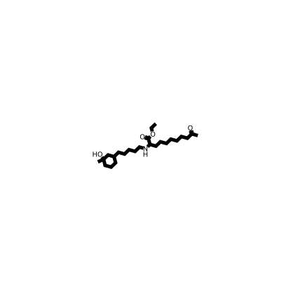 CCOC(=O)C(CCCCCCCC(C)=O)NCCCCCC1CCCC(C)(O)C1